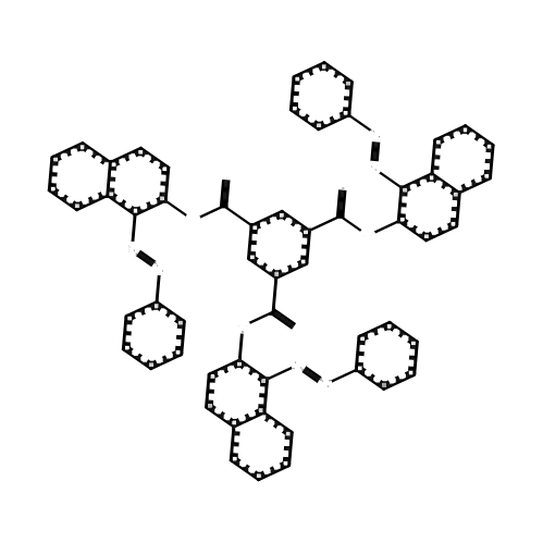 O=C(Oc1ccc2ccccc2c1/N=N/c1ccccc1)c1cc(C(=O)Oc2ccc3ccccc3c2/N=N/c2ccccc2)cc(C(=O)Oc2ccc3ccccc3c2/N=N/c2ccccc2)c1